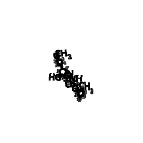 COc1ccc(C2Cc3nc(NC(=O)COc4ccccc4C)sc3C(O)C2)cc1